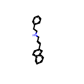 C(=C\c1ccc2ccccc2c1)/CNCCc1ccccc1